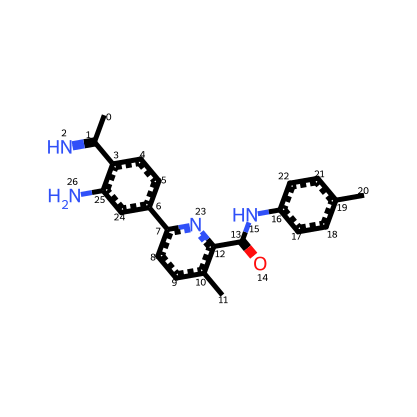 CC(=N)c1ccc(-c2ccc(C)c(C(=O)Nc3ccc(C)cc3)n2)cc1N